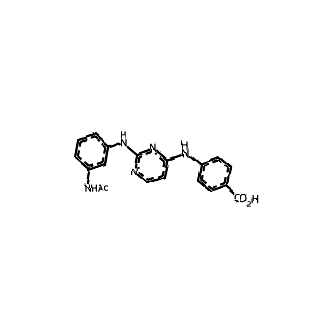 CC(=O)Nc1cccc(Nc2nccc(Nc3ccc(C(=O)O)cc3)n2)c1